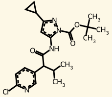 CC(C)C(C(=O)Nc1cc(C2CC2)nn1C(=O)OC(C)(C)C)c1ccc(Cl)nc1